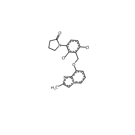 Cc1cn2cccc(OCc3c(Cl)ccc(N4CCCC4=O)c3Cl)c2n1